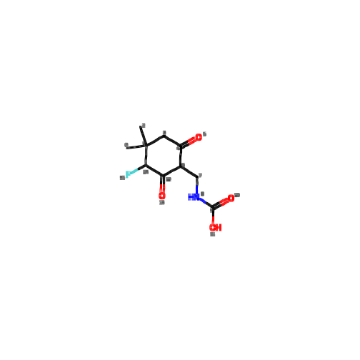 CC1(C)CC(=O)C(CNC(=O)O)C(=O)C1F